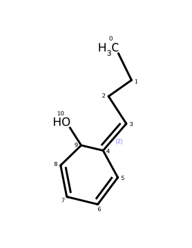 CCC/C=C1/C=CC=CC1O